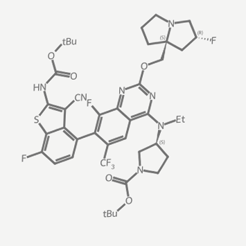 CCN(c1nc(OC[C@@]23CCCN2C[C@H](F)C3)nc2c(F)c(-c3ccc(F)c4sc(NC(=O)OC(C)(C)C)c(C#N)c34)c(C(F)(F)F)cc12)[C@H]1CCN(C(=O)OC(C)(C)C)C1